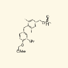 COCOc1ccc(Cc2c(C)cc(CO[PH](C)=O)cc2C)cc1C(C)C